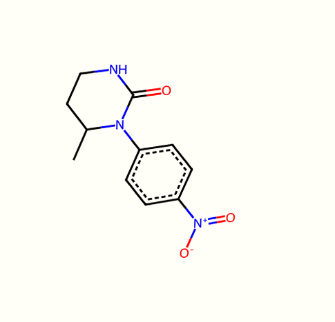 CC1CCNC(=O)N1c1ccc([N+](=O)[O-])cc1